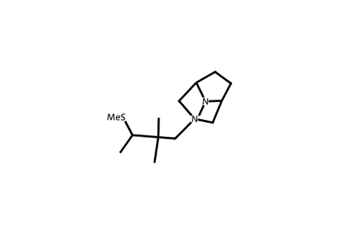 CSC(C)C(C)(C)CN1CC2CCC(C1)N2C